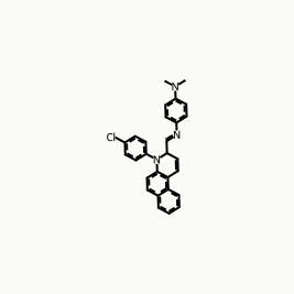 CN(C)c1ccc(N=CC2C=Cc3c(ccc4ccccc34)N2c2ccc(Cl)cc2)cc1